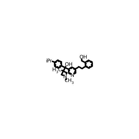 CC(C)c1ccc(C(O)(c2cncc(CCc3ccccc3CO)c2)C2(C)CN(C)C2)cc1